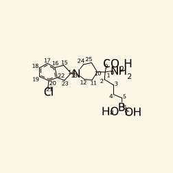 NC(CCCCB(O)O)(C(=O)O)C1CCN(C2Cc3cccc(Cl)c3C2)CC1